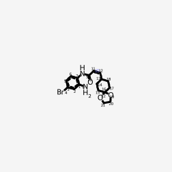 Nc1cc(Br)ccc1NC(=O)/C=C\C1CCC2(CC1)OCCO2